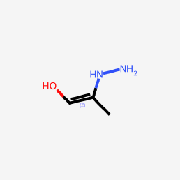 C/C(=C/O)NN